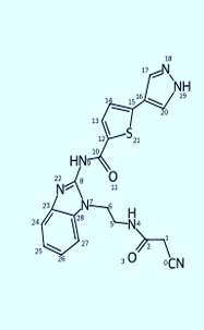 N#CCC(=O)NCCn1c(NC(=O)c2ccc(-c3cn[nH]c3)s2)nc2ccccc21